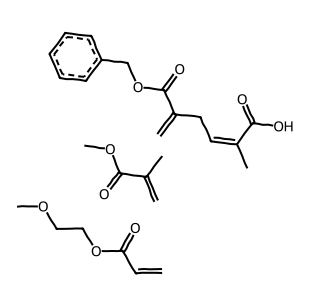 C=C(C)C(=O)OC.C=C(CC=C(C)C(=O)O)C(=O)OCc1ccccc1.C=CC(=O)OCCOC